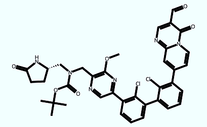 COc1nc(-c2cccc(-c3cccc(-c4ccn5c(=O)c(C=O)cnc5c4)c3Cl)c2Cl)cnc1CN(C[C@@H]1CCC(=O)N1)C(=O)OC(C)(C)C